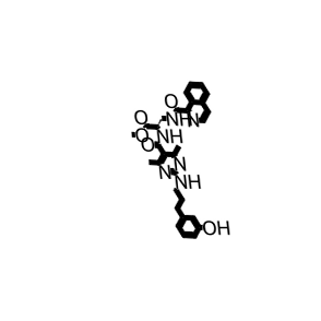 COC(=O)[C@H](CNC(=O)c1nccc2ccccc12)NC(=O)c1c(C)nc(NCCCc2cccc(O)c2)nc1C